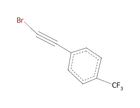 FC(F)(F)c1ccc(C#CBr)cc1